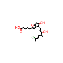 CC(Cl)=CCC(C)[C@H](O)C=C[C@@H]1c2cc(CCCCC(=O)O)oc2C[C@H]1O